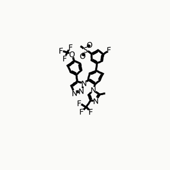 Cc1nc(C(F)(F)F)cn1-c1ccc(-c2cc(F)cc(S(C)(=O)=O)c2)cc1-n1nncc1-c1ccc(OC(F)(F)F)cc1